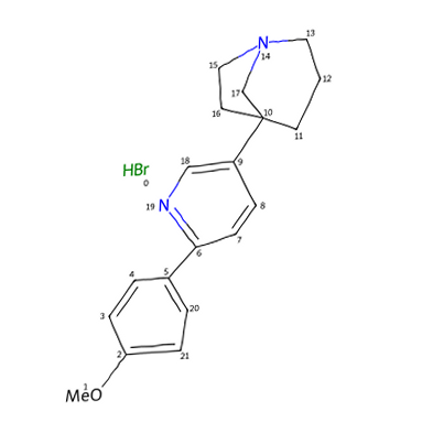 Br.COc1ccc(-c2ccc(C34CCCN(CC3)C4)cn2)cc1